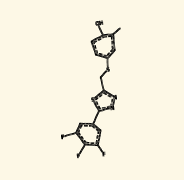 Cc1cc(SCc2nnc(-c3cc(F)c(F)c(F)c3)s2)ccc1O